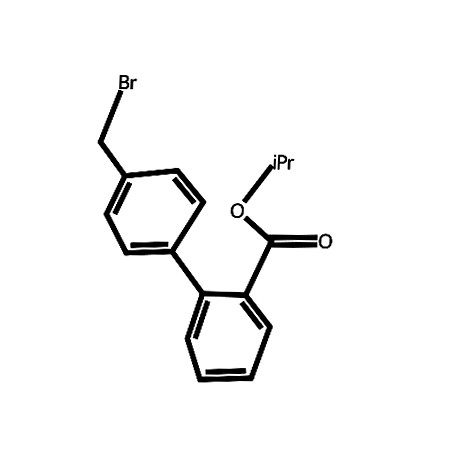 CC(C)OC(=O)c1ccccc1-c1ccc(CBr)cc1